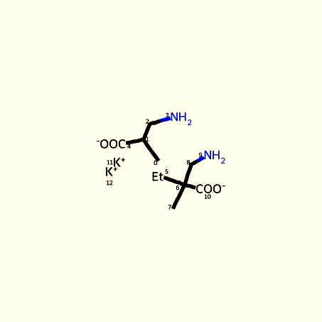 CC(CN)C(=O)[O-].CCC(C)(CN)C(=O)[O-].[K+].[K+]